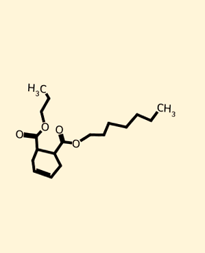 CCCCCCCOC(=O)C1CC=CCC1C(=O)OCCC